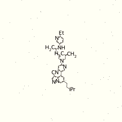 C=C(C)CN(CCCC(=C)Nc1ccc(CC)nc1)c1ccc(-c2cc(CCC(C)C)cn3ncc(C#N)c23)cn1